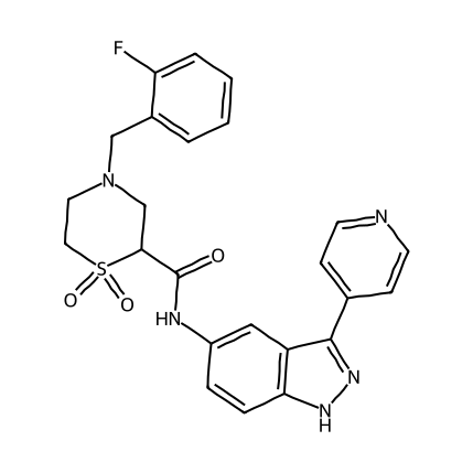 O=C(Nc1ccc2[nH]nc(-c3ccncc3)c2c1)C1CN(Cc2ccccc2F)CCS1(=O)=O